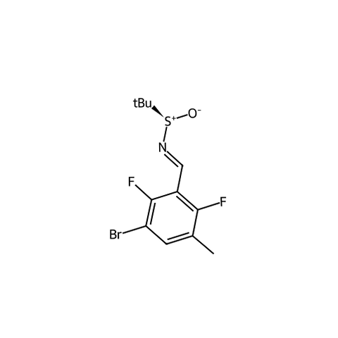 Cc1cc(Br)c(F)c(/C=N/[S@+]([O-])C(C)(C)C)c1F